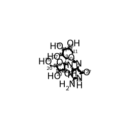 Nc1nc2c(ncn2[C@]2(C3OC[C@@H](O)[C@@H](O)[C@@H]3O)O[C@H](CO)[C@@H](O)[C@H]2O)c(=O)[nH]1